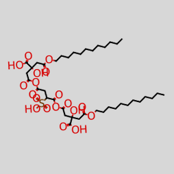 CCCCCCCCCCCCOC(=O)CC(O)(CC(=O)OC(=O)CC(C(=O)OC(=O)CC(O)(CC(=O)OCCCCCCCCCCCC)C(=O)O)S(=O)(=O)O)C(=O)O